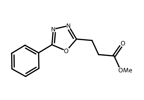 COC(=O)CCc1nnc(-c2ccccc2)o1